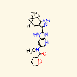 CN(C(=O)[C@@H]1CCCCO1)c1cnc2nc(-c3n[nH]c4c3C[C@@H]3C[C@]3(C)C4)[nH]c2c1